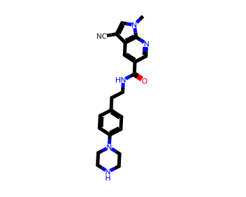 Cn1cc(C#N)c2cc(C(=O)NCCc3ccc(N4CCNCC4)cc3)cnc21